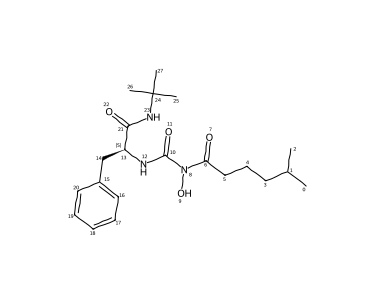 CC(C)CCCC(=O)N(O)C(=O)N[C@@H](Cc1ccccc1)C(=O)NC(C)(C)C